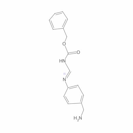 NCc1ccc(/N=C/NC(=O)OCc2ccccc2)cc1